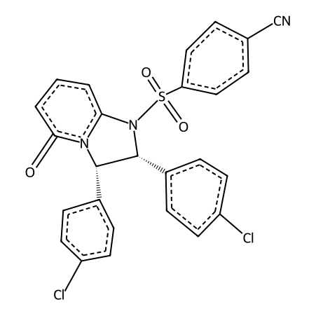 N#Cc1ccc(S(=O)(=O)N2c3cccc(=O)n3[C@@H](c3ccc(Cl)cc3)[C@H]2c2ccc(Cl)cc2)cc1